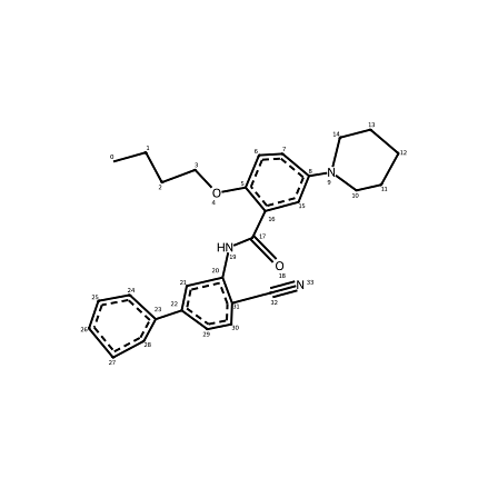 CCCCOc1ccc(N2CCCCC2)cc1C(=O)Nc1cc(-c2ccccc2)ccc1C#N